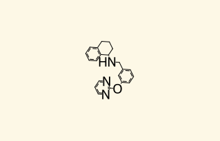 c1cnc(Oc2cccc(CN[C@H]3CCCc4ccccc43)c2)nc1